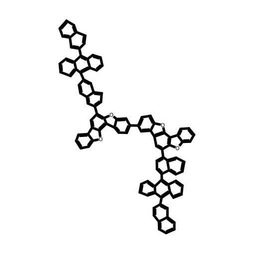 c1ccc2cc(-c3c4ccccc4c(-c4ccc5cc(-c6cc7c8ccccc8oc7c7c6oc6cc(-c8ccc9oc%10c(cc(-c%11ccc(-c%12c%13ccccc%13c(-c%13ccc%14ccccc%14c%13)c%13ccccc%12%13)c%12ccccc%11%12)c%11oc%12ccccc%12c%11%10)c9c8)ccc67)ccc5c4)c4ccccc34)ccc2c1